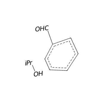 CC(C)O.O=Cc1ccccc1